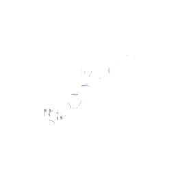 CCCCOCCC(O)/C=C/c1ccc(Cn2ccnc2)cc1